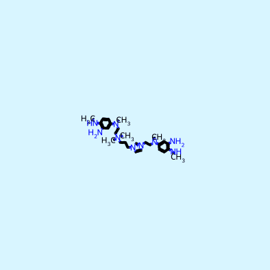 CNc1ccc(N(C)CCn2cc[n+](CCC[N+](C)(C)CCN(C)c3ccc(NC)c(N)c3)c2)cc1N